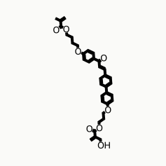 C=C(C)C(=O)OCCCCOc1ccc(C(=O)/C=C/c2ccc(-c3ccc(OCCCOC(=O)C(=C)CO)cc3)cc2)cc1